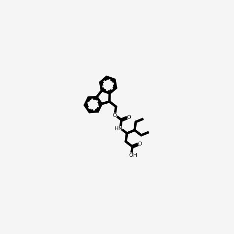 CCC(CC)C(CC(=O)O)NC(=O)OCC1c2ccccc2-c2ccccc21